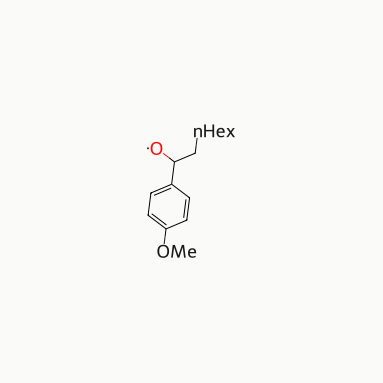 CCCCCCCC([O])c1ccc(OC)cc1